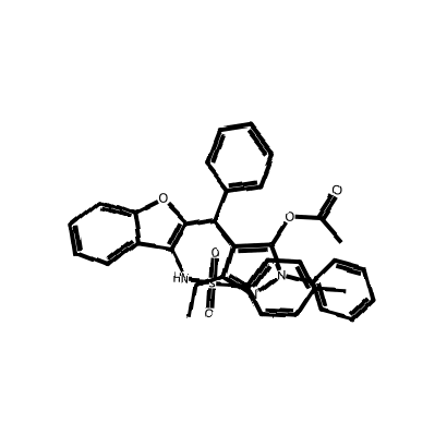 CCc1nn(-c2ccccc2)c(OC(C)=O)c1C(c1ccccc1)c1oc2ccccc2c1NS(=O)(=O)c1ccc(C)cc1